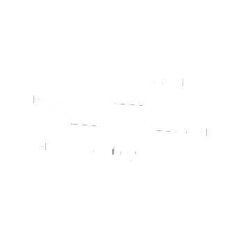 CC(C(=O)O)C(CC(C(=O)O)C(C(=O)O)C(=O)O)C(=O)O